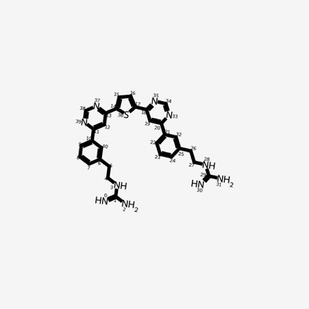 N=C(N)NCCc1cccc(-c2cc(-c3ccc(-c4cc(-c5cccc(CCNC(=N)N)c5)ncn4)s3)ncn2)c1